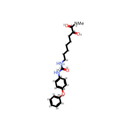 CNC(=O)C(=O)CCCCCCNC(=O)Nc1ccc(Oc2ccccc2)cc1